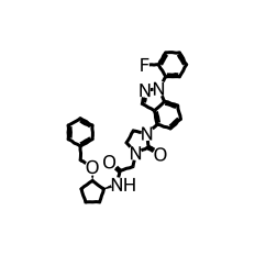 O=C(CN1CCN(c2cccc3c2cnn3-c2ccccc2F)C1=O)N[C@H]1CCC[C@@H]1OCc1ccccc1